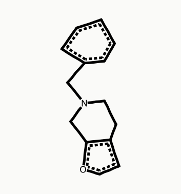 c1ccc(CN2CCc3ccoc3C2)cc1